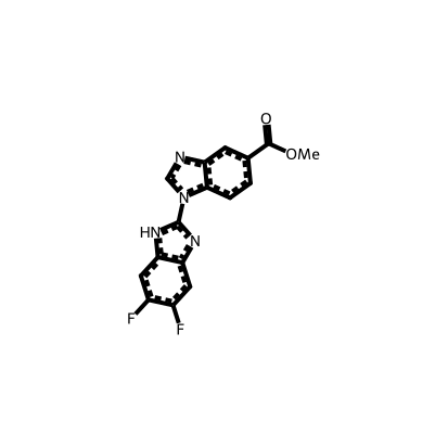 COC(=O)c1ccc2c(c1)ncn2-c1nc2cc(F)c(F)cc2[nH]1